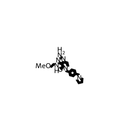 COCCNc1nc(N)nc2ccn(Cc3ccc(CN4CCCC4)cc3)c(=O)c12